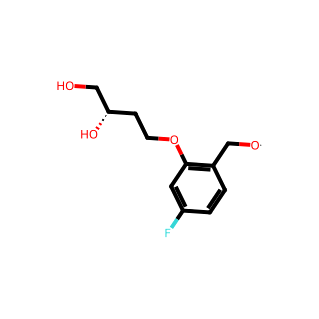 [O]Cc1ccc(F)cc1OCC[C@H](O)CO